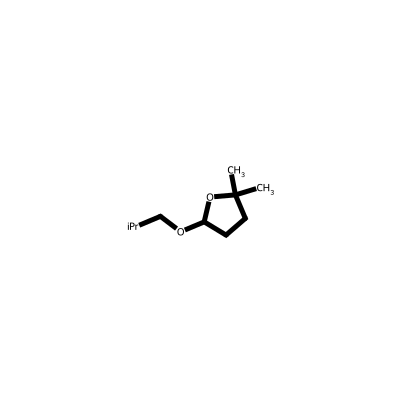 CC(C)COC1CCC(C)(C)O1